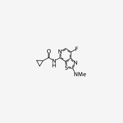 CNc1nc2c(F)cnc(NC(=O)C3CC3)c2s1